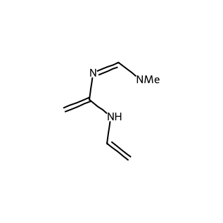 C=CNC(=C)/N=C\NC